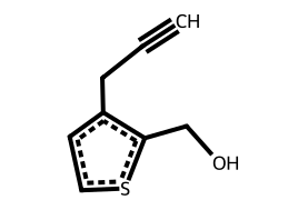 C#CCc1ccsc1CO